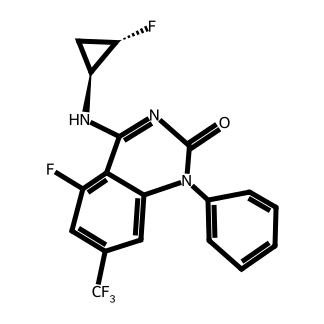 O=c1nc(N[C@H]2C[C@@H]2F)c2c(F)cc(C(F)(F)F)cc2n1-c1ccccc1